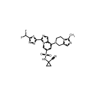 Cc1ncc2n1CCN(c1cc(S(=O)(=O)NC3(C#N)CC3)cn3c(-c4nnc(C(F)F)s4)ncc13)C2